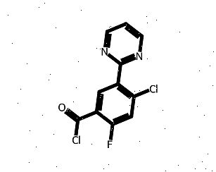 O=C(Cl)c1cc(-c2ncccn2)c(Cl)cc1F